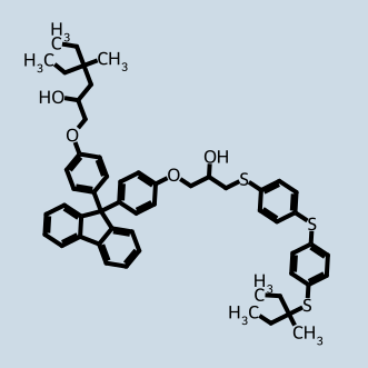 CCC(C)(CC)CC(O)COc1ccc(C2(c3ccc(OCC(O)CSc4ccc(Sc5ccc(SC(C)(CC)CC)cc5)cc4)cc3)c3ccccc3-c3ccccc32)cc1